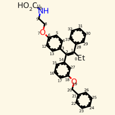 CC/C(=C(/c1ccc(OCCNC(=O)O)cc1)c1cccc(OCc2ccccc2)c1)c1ccccc1